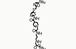 CC(C)(C)OC(=O)CNCCCNC(=O)CN1CCC(C(=O)Nc2ncc(SCc3ncc(C(C)(C)C)o3)s2)CC1